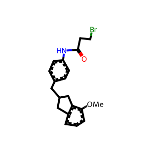 COc1cccc2c1CC(Cc1ccc(NC(=O)CCBr)cc1)C2